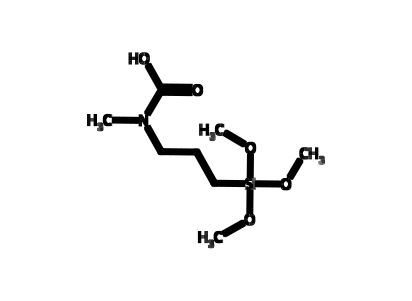 CO[Si](CCCN(C)C(=O)O)(OC)OC